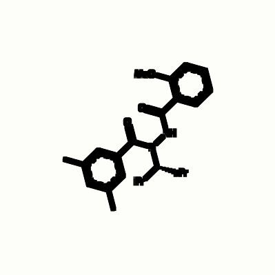 CCC[C@H](C(C)C)N(NC(=O)c1ccccc1OC)C(=O)c1cc(C)cc(C)c1